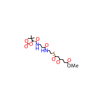 COC(=O)CCC(=O)CC(=O)SCCNC(=O)CCNC(=O)[C@@H]1OC(=O)OCC1(C)C